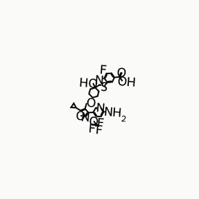 Nc1cc(OC(F)(F)F)c(-c2noc(C3CC3)c2COC2CCC(O)(c3nc4c(F)cc(C(=O)O)cc4s3)CC2)cn1